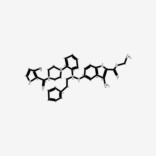 CCOC(=O)c1oc2ccc(SN(CCc3ccccc3)c3ccccc3N3CCN(C(=O)c4sccc4Br)CC3)cc2c1C